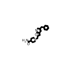 NC(=O)C1CCN(Cc2cc3cc(Cc4ccccc4)cnc3o2)CC1